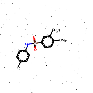 CCc1ccc(NS(=O)(=O)c2ccc(OC)c(C(=O)O)c2)cc1